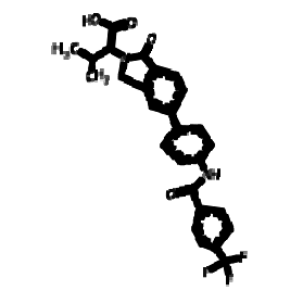 CC(C)C(C(=O)O)N1Cc2cc(-c3ccc(NC(=O)c4ccc(C(F)(F)F)cc4)cc3)ccc2C1=O